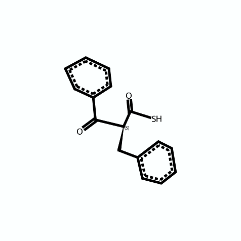 O=C(S)[C@@H](Cc1ccccc1)C(=O)c1ccccc1